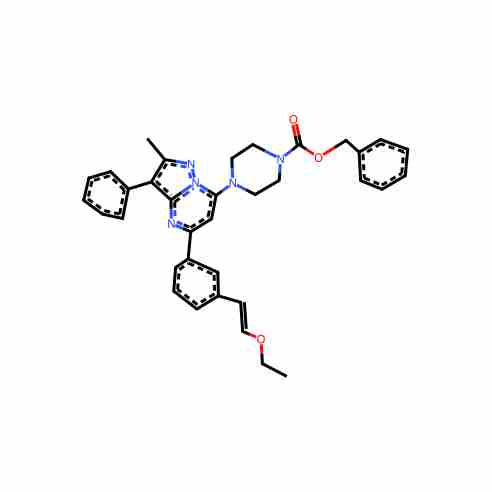 CCOC=Cc1cccc(-c2cc(N3CCN(C(=O)OCc4ccccc4)CC3)n3nc(C)c(-c4ccccc4)c3n2)c1